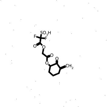 C=C1CCCC(OC(=O)COC(=O)C(F)(F)S(=O)(=O)O)C1=O